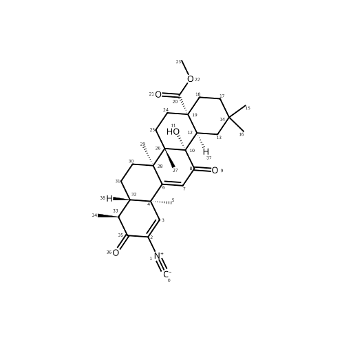 [C-]#[N+]C1=C[C@]2(C)C3=CC(=O)[C@]4(O)[C@@H]5CC(C)(C)CC[C@]5(C(=O)OC)CC[C@@]4(C)[C@]3(C)CC[C@H]2[C@H](C)C1=O